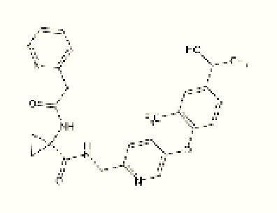 CC(O)c1ccc(Oc2ccc(CNC(=O)C3(NC(=O)Cc4ccccn4)CC3)nc2)c(C(F)(F)F)c1